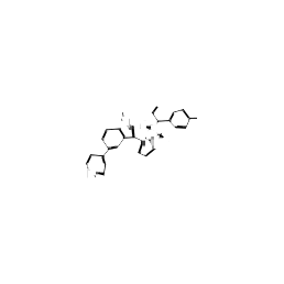 C=CC(c1ccc(C)cc1)S(=O)(=O)n1cccc1-c1cn(C)c2ccc(-c3ccncc3)cc12